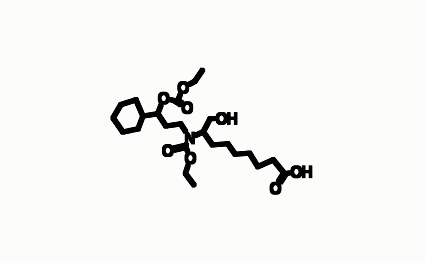 CCOC(=O)OC(CCN(C(=O)OCC)C(CO)CCCCCCC(=O)O)C1CCCCC1